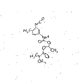 C=C(C)C(=O)OC(C)OC(=O)Nc1ccc(C)c(N=C=O)c1